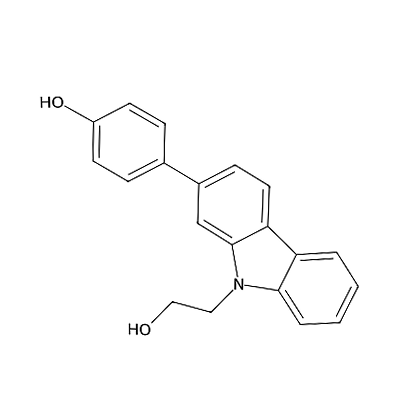 OCCn1c2ccccc2c2ccc(-c3ccc(O)cc3)cc21